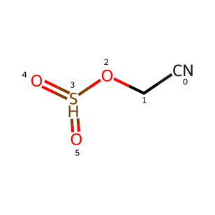 N#CCO[SH](=O)=O